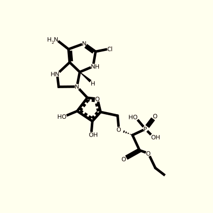 CCOC(=O)[C@H](OCc1oc(N2CNC3=C(N)N=C(Cl)N[C@@H]32)c(O)c1O)P(=O)(O)O